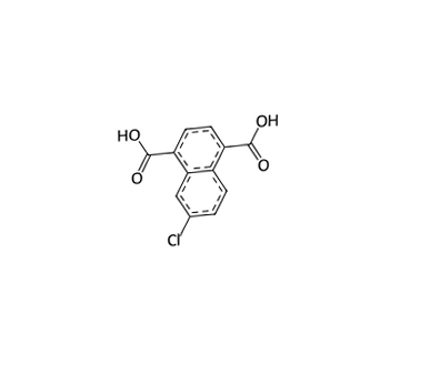 O=C(O)c1ccc(C(=O)O)c2cc(Cl)ccc12